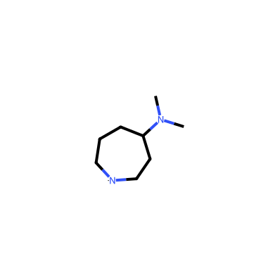 CN(C)C1CCC[N]CC1